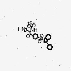 CC(C)(C)OC(=O)NC(C(=O)c1ccc(S(=O)(=O)n2cc(-c3ccccc3)c3ccccc32)cc1)C1CNC1